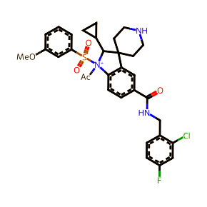 COc1cccc(S(=O)(=O)[N+]2(C(C)=O)c3ccc(C(=O)NCc4ccc(F)cc4Cl)cc3C3(CCNCC3)C2C2CC2)c1